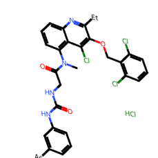 CCc1nc2cccc(N(C)C(=O)CNC(=O)Nc3cccc(C(C)=O)c3)c2c(Cl)c1OCc1c(Cl)cccc1Cl.Cl